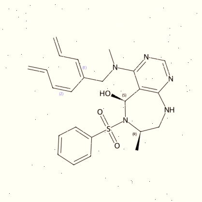 C=C/C=C\C(=C/C=C)CN(C)c1ncnc2c1[C@H](O)N(S(=O)(=O)c1ccccc1)[C@H](C)CN2